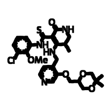 COc1c(Cl)cccc1NC(=S)C1=C(NCc2ccncc2OCC2COC(C)(C)CO2)C(C)CNC1=O